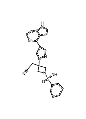 N#CCC1(n2cc(-c3ncnc4[nH]ccc34)cn2)CN(S(=N)(=O)c2ccccc2)C1